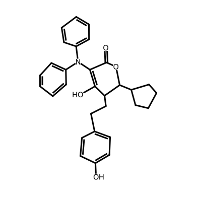 O=C1OC(C2CCCC2)C(CCc2ccc(O)cc2)C(O)=C1N(c1ccccc1)c1ccccc1